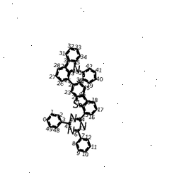 c1ccc(-c2nc(-c3ccccc3)nc(-c3cccc4c3sc3cc(-c5cccc6c7ccccc7n(-c7ccccc7)c56)ccc34)n2)cc1